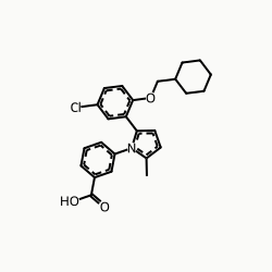 Cc1ccc(-c2cc(Cl)ccc2OCC2CCCCC2)n1-c1cccc(C(=O)O)c1